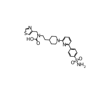 NS(=O)(=O)c1ccc(-c2cccc(N3CCC(CCN(Cc4cscn4)C(=O)O)CC3)n2)cc1